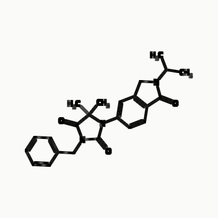 CC(C)N1Cc2cc(N3C(=O)N(Cc4ccccc4)C(=O)C3(C)C)ccc2C1=O